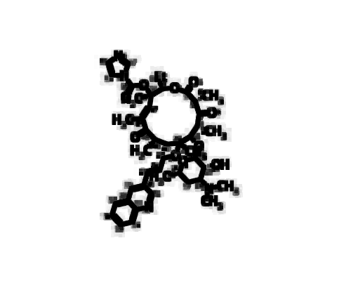 CC[C@H]1OC(=O)[C@H](C)C(=O)[C@H](C)[C@@H](O[C@@H]2O[C@H](C)C[C@H](N(C)C)[C@H]2O)[C@](C)(OC/C=C/c2cnc3ccccc3c2)C[C@@H](C)C(=O)/C(C)=C/[C@]1(C)OC(=O)n1ccnc1